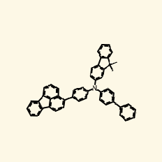 CC1(C)c2ccccc2-c2ccc(N(c3ccc(-c4ccccc4)cc3)c3ccc(-c4ccc5c6c(cccc46)-c4ccccc4-5)cc3)cc21